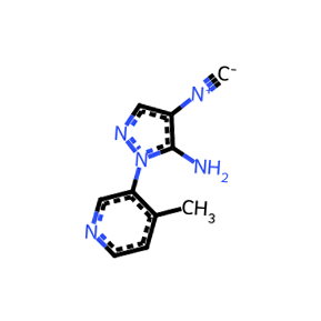 [C-]#[N+]c1cnn(-c2cnccc2C)c1N